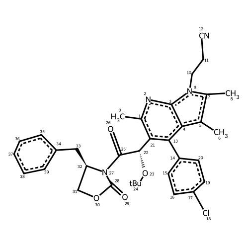 Cc1nc2c(c(C)c(C)n2CCC#N)c(-c2ccc(Cl)cc2)c1[C@H](OC(C)(C)C)C(=O)N1C(=O)OC[C@H]1Cc1ccccc1